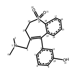 CN(C)CC1=C(c2cccc(O)c2)c2ccccc2S(=O)(=O)CC1